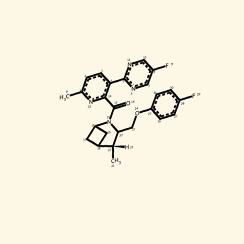 Cc1ccc(-c2ncc(F)cn2)c(C(=O)N2C3CC(C3)[C@@H](C)C2COc2ccc(F)cc2)n1